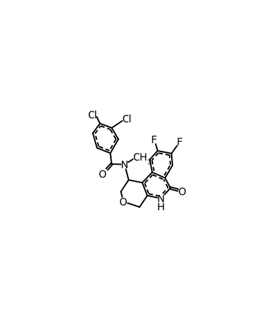 CN(C(=O)c1ccc(Cl)c(Cl)c1)C1COCc2[nH]c(=O)c3cc(F)c(F)cc3c21